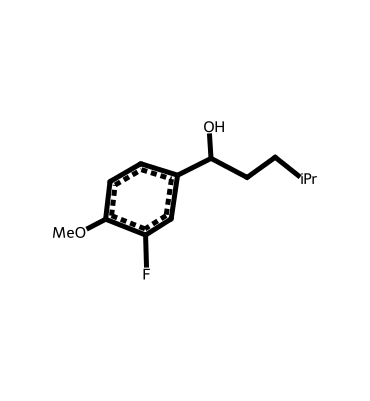 COc1ccc(C(O)CCC(C)C)cc1F